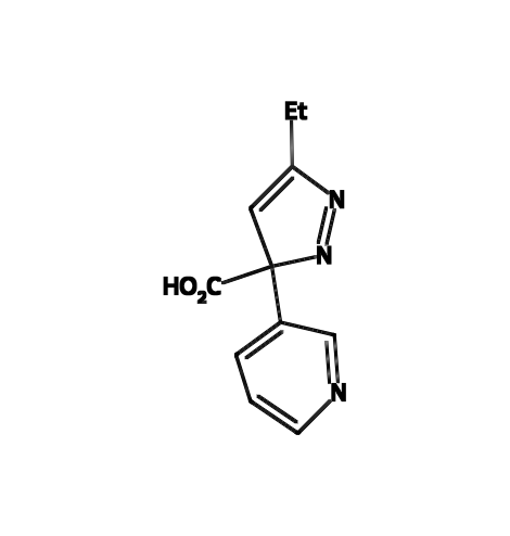 CCC1=CC(C(=O)O)(c2cccnc2)N=N1